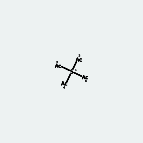 CC(=O)S(C(C)=O)(C(C)=O)C(C)=O